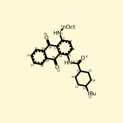 CCCCCCCCNc1ccc(NC(=O)C2CCC(C(C)(C)C)CC2)c2c1C(=O)c1ccccc1C2=O